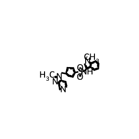 Cc1nc2cnccc2n1Cc1ccc(S(=O)(=O)Nc2cn(C)c3ccccc23)cc1